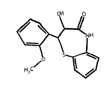 COc1ccccc1C1Sc2ccccc2NC(=O)C1O